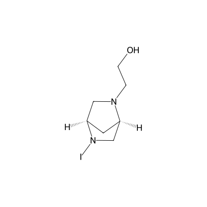 OCCN1C[C@H]2C[C@@H]1CN2I